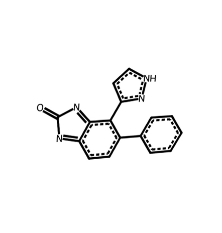 O=C1N=c2ccc(-c3ccccc3)c(-c3cc[nH]n3)c2=N1